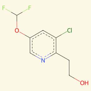 OCCc1ncc(OC(F)F)cc1Cl